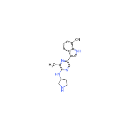 Cc1nc(-c2c[nH]c3c(C#N)cccc23)cnc1NC1CCNC1